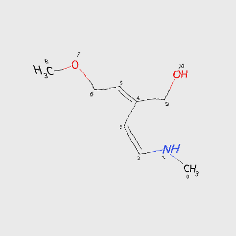 CN/C=C\C(=C/COC)CO